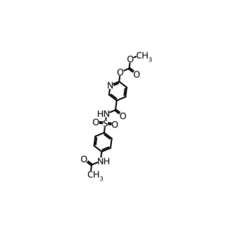 COC(=O)Oc1ccc(C(=O)NS(=O)(=O)c2ccc(NC(C)=O)cc2)cn1